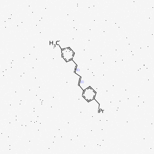 Cc1ccc(/C=C/C=C/c2ccc(CC(C)C)cc2)cc1